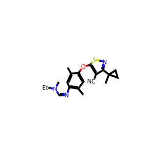 CCN(C)/C=N\c1cc(C)c(Oc2snc(C3(C)CC3)c2C#N)cc1C